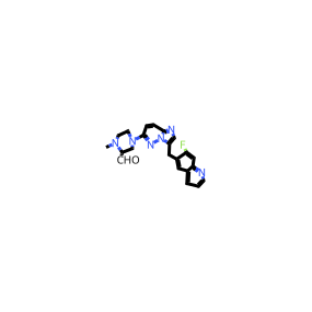 CN1CCN(c2ccc3ncc(Cc4cc5cccnc5cc4F)n3n2)CC1C=O